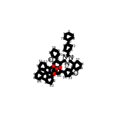 c1ccc(-c2ccc(-c3nc(-c4cccc5oc6ccccc6c45)nc(-c4cccc5oc6ccc(-c7cccc(-c8cccc9c8C8(c%10ccccc%10-c%10ccccc%108)c8ccccc8-9)c7)cc6c45)n3)cc2)cc1